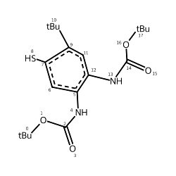 CC(C)(C)OC(=O)Nc1cc(S)c(C(C)(C)C)cc1NC(=O)OC(C)(C)C